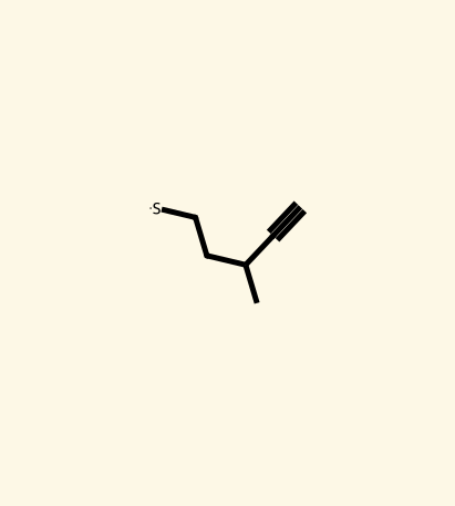 C#CC(C)CC[S]